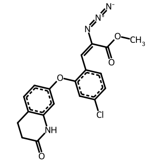 COC(=O)/C(=C\c1ccc(Cl)cc1Oc1ccc2c(c1)NC(=O)CC2)N=[N+]=[N-]